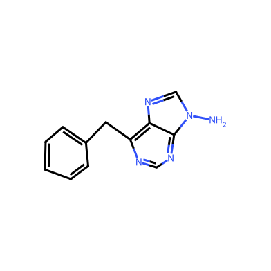 Nn1cnc2c(Cc3ccccc3)ncnc21